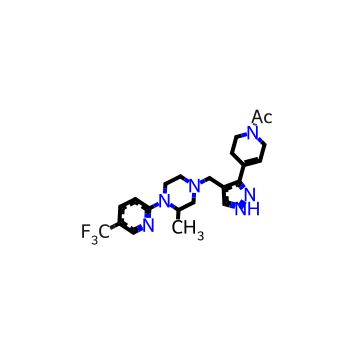 CC(=O)N1CC=C(c2n[nH]cc2CN2CCN(c3ccc(C(F)(F)F)cn3)C(C)C2)CC1